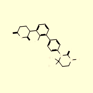 CN1CCC(C)(C)N(c2ccc(-c3cccc(C4CCC(=O)NC4=O)c3Cl)cc2)C1=O